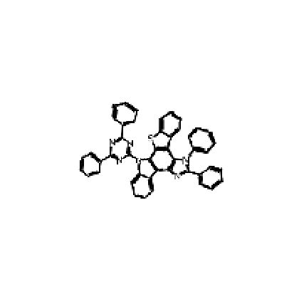 c1ccc(-c2nc(-c3ccccc3)nc(-n3c4ccccc4c4c5nc(-c6ccccc6)n(-c6ccccc6)c5c5c6ccccc6sc5c43)n2)cc1